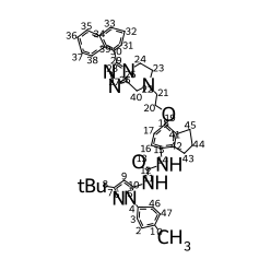 Cc1ccc(-n2nc(C(C)(C)C)cc2NC(=O)Nc2ccc(OCCN3CCn4c(nnc4-c4cccc5ccccc45)C3)c3c2CCC3)cc1